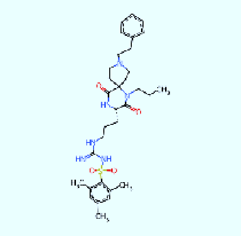 CCCN1C(=O)[C@H](CCCNC(=N)NS(=O)(=O)c2c(C)cc(C)cc2C)NC(=O)C12CCN(CCc1ccccc1)CC2